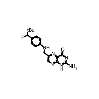 CC(C)(C)C(F)c1ccc(NCc2cnc3[nH]c(N)nc(=O)c3n2)cc1